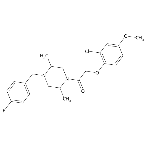 COc1ccc(OCC(=O)N2CC(C)N(Cc3ccc(F)cc3)CC2C)c(Cl)c1